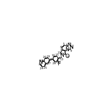 O=C1c2c(ccc3nncn23)CN1Cc1ccc(-c2ccc3ncccc3c2)cc1F